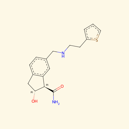 NC(=O)[C@@H]1c2cc(CNCCc3cccs3)ccc2C[C@H]1O